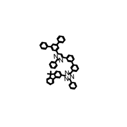 CC1(C)c2ccccc2-c2cc(-c3nc(-c4ccccc4)nc(-c4cccc(-c5cccc(-c6cc(-c7cc(-c8ccccc8)cc(-c8ccccc8)c7)nc(-c7ccccc7)n6)c5)c4)n3)ccc21